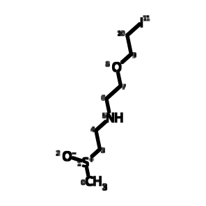 C[S+]([O-])CCNCCOCCI